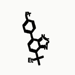 CCC(C)(C)c1ccc(-c2ccc(C(C)C)cc2)c2nsnc12